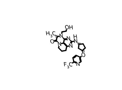 C[C@H]1C(=O)N2CCCc3nc(N[C@@H]4CC[C@@H](Oc5ccc(C(F)(F)F)nc5)C4)nc(c32)N1CCO